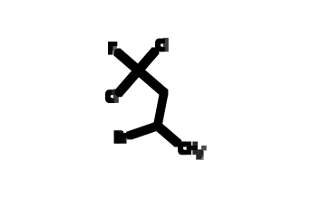 [CH2]C(Br)CC(F)(Cl)Cl